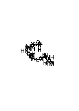 Cc1cc(OCCNC(C)Cn2ncc3cc(Nc4nnc(-c5ccc(OCC(=O)NC(C)C)nc5)[nH]4)ccc32)ccc1-c1nnc(Nc2ccc3[nH]ncc3c2)[nH]1